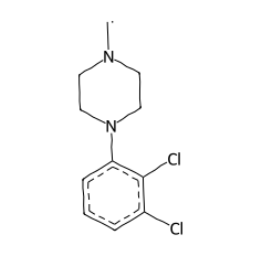 [CH2]N1CCN(c2cccc(Cl)c2Cl)CC1